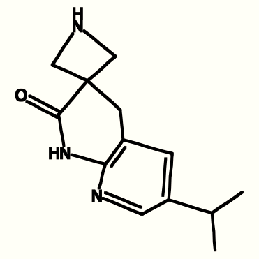 CC(C)c1cnc2c(c1)CC1(CNC1)C(=O)N2